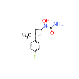 CC1(c2ccc(F)cc2)CC(N(O)C(N)=O)C1